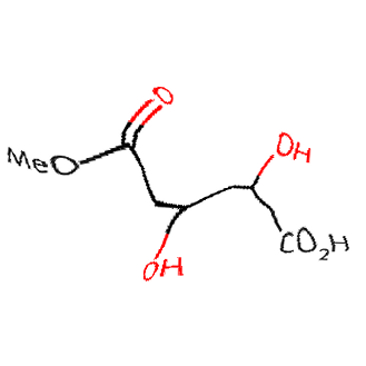 COC(=O)C(O)C(O)C(=O)O